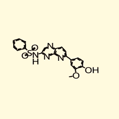 COc1cc(-c2ccc3ncc(NS(=O)(=O)c4ccccc4)nc3n2)ccc1O